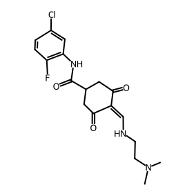 CN(C)CCNC=C1C(=O)CC(C(=O)Nc2cc(Cl)ccc2F)CC1=O